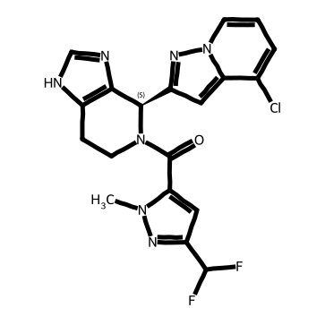 Cn1nc(C(F)F)cc1C(=O)N1CCc2[nH]cnc2[C@H]1c1cc2c(Cl)cccn2n1